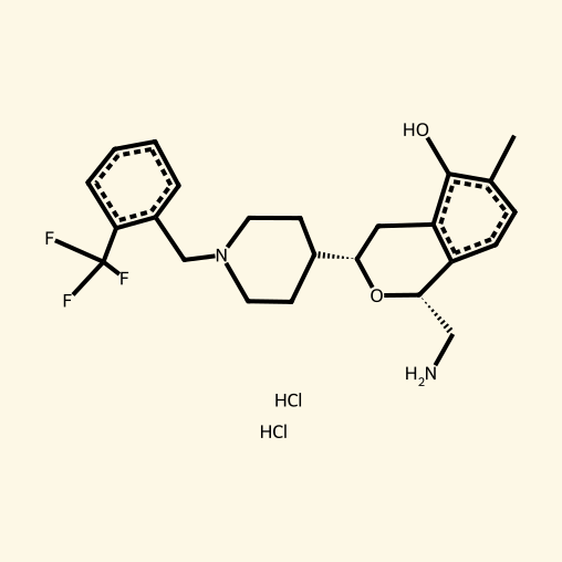 Cc1ccc2c(c1O)C[C@@H](C1CCN(Cc3ccccc3C(F)(F)F)CC1)O[C@H]2CN.Cl.Cl